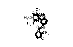 CN1C(=O)C(C)(C)[C@@](C)(c2cc(NC(=O)N3CC=CC(Cl)=C3C(F)(F)F)ccc2F)N=C1N